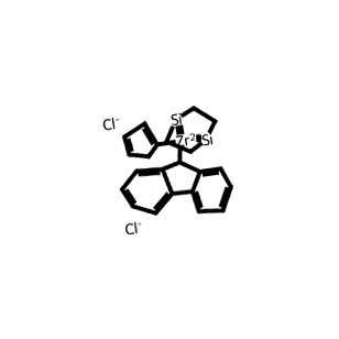 C1=CC[C]([Zr+2]2([CH]3c4ccccc4-c4ccccc43)=[Si]3CC[Si]=2CC3)=C1.[Cl-].[Cl-]